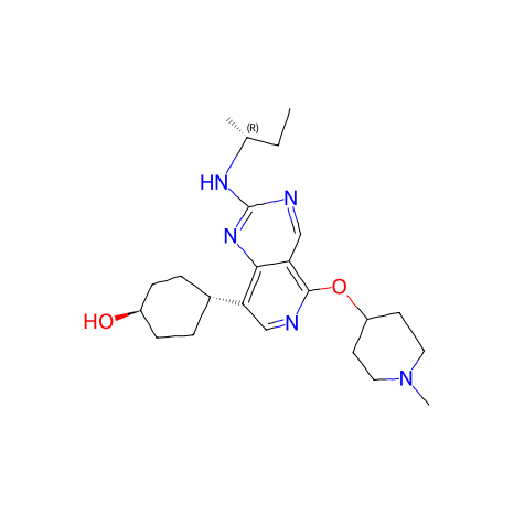 CC[C@@H](C)Nc1ncc2c(OC3CCN(C)CC3)ncc([C@H]3CC[C@H](O)CC3)c2n1